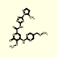 COCc1cnc(Nc2cc(C(=O)Nc3nnc(-n4nccc4C)s3)oc(=O)c2OC)nc1